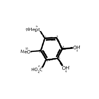 CCCCCCCc1cc(O)c(O)c(C(=O)O)c1OC